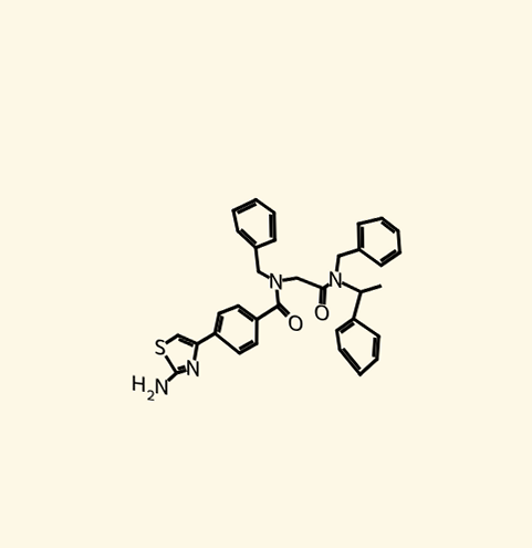 CC(c1ccccc1)N(Cc1ccccc1)C(=O)CN(Cc1ccccc1)C(=O)c1ccc(-c2csc(N)n2)cc1